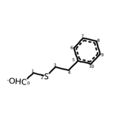 O=[C]CSCCc1ccccc1